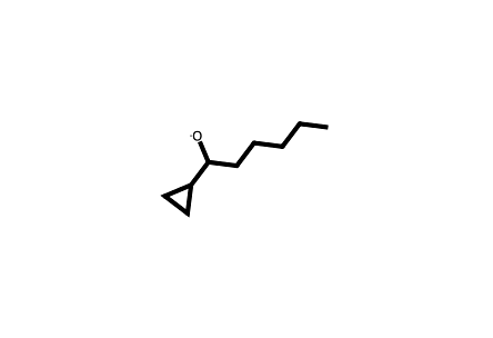 CCCCCC([O])C1CC1